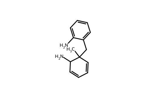 CC1(Cc2ccccc2N)C=CC=CC1N